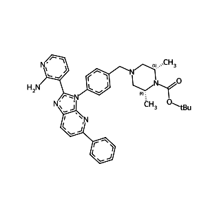 C[C@@H]1CN(Cc2ccc(-n3c(-c4cccnc4N)nc4ccc(-c5ccccc5)nc43)cc2)C[C@H](C)N1C(=O)OC(C)(C)C